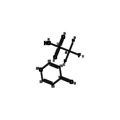 O=S(=O)(O)C(F)(F)F.O=c1ccocc1